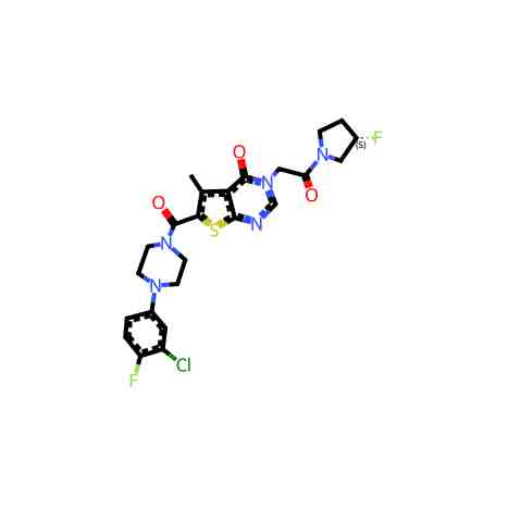 Cc1c(C(=O)N2CCN(c3ccc(F)c(Cl)c3)CC2)sc2ncn(CC(=O)N3CC[C@H](F)C3)c(=O)c12